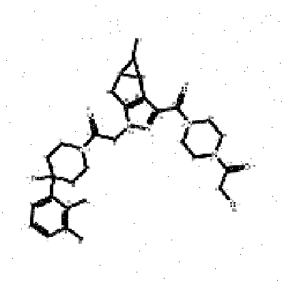 Cc1cccc(C2(F)CCN(C(=O)Cn3nc(C(=O)N4CCN(C(=O)CO)CC4)c4c3CC3C(C)C43)CC2)c1C